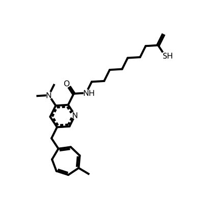 C=C(S)CCCCCCCNC(=O)c1ncc(CC2=CC=C(C)C=CC2)cc1N(C)C